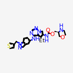 CCc1c(NC(=O)OC[C@@H]2COCCN2)cn2ncnc(Nc3ccc4c(cnn4Cc4ccsc4)c3)c12